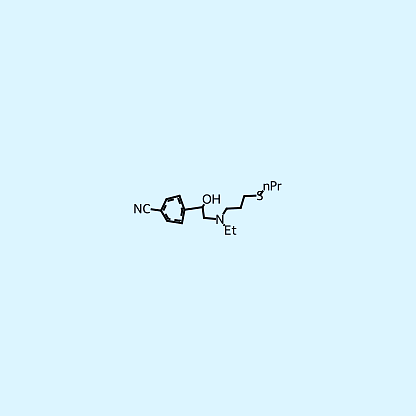 CCCSCCCN(CC)CC(O)c1ccc(C#N)cc1